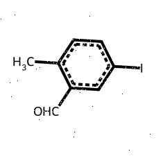 Cc1ccc(I)cc1C=O